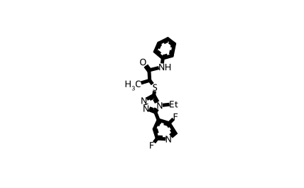 CCn1c(SC(C)C(=O)Nc2ccccc2)nnc1-c1cc(F)ncc1F